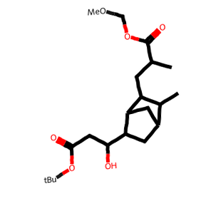 COCOC(=O)C(C)CC1C(C)C2CC(C(O)CC(=O)OC(C)(C)C)C1C2